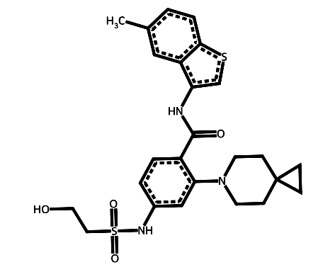 Cc1ccc2scc(NC(=O)c3ccc(NS(=O)(=O)CCO)cc3N3CCC4(CC3)CC4)c2c1